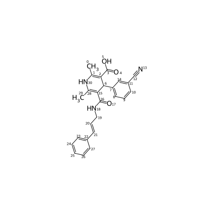 CC1=C(C(=O)O)C(c2cccc(C#N)c2)C(C(=O)NCC=Cc2ccccc2)=C(C)N1